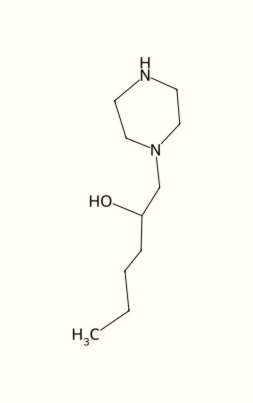 CCCCC(O)CN1CCNCC1